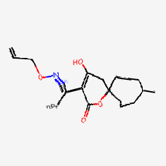 C=CCO/N=C(\CCC)C1=C(O)CC2(CCC(C)CC2)OC1=O